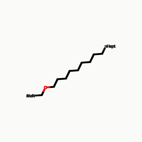 CCCCCCCCCCCCCCCCOCNC